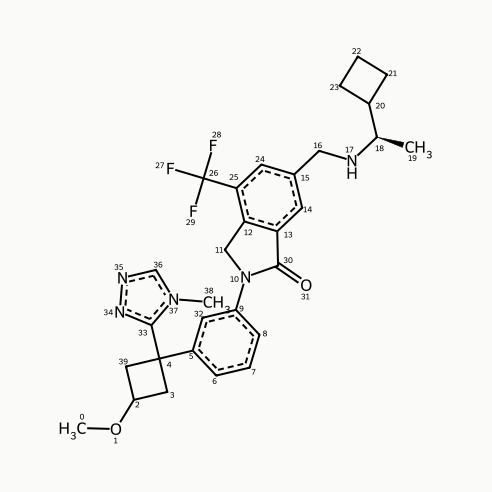 COC1CC(c2cccc(N3Cc4c(cc(CN[C@H](C)C5CCC5)cc4C(F)(F)F)C3=O)c2)(c2nncn2C)C1